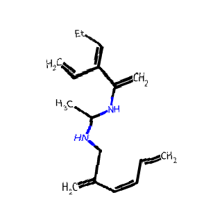 C=C/C=C\C(=C)CNC(C)NC(=C)/C(C=C)=C/CC